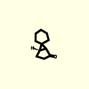 O=C1CC[C@@H]2C1C21CCCCC1